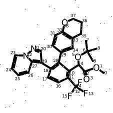 COC(=O)C(OC(C)(C)C)c1c(C(F)(F)F)ccc(-c2cnn3ccccc23)c1-c1ccc2c(c1)CCCO2